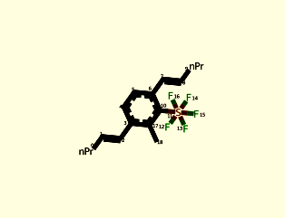 CCC/C=C/c1ccc(/C=C/CCC)c(S(F)(F)(F)(F)F)c1C